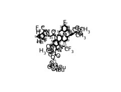 CC(C)(C)OP(=O)(OCOC(=O)N(c1nn(CC(F)(F)F)c2c(-c3ccc(C#CC(C)(C)S(C)(=O)=O)nc3[C@H](Cc3cc(F)cc(F)c3)NC(=O)Cn3nc(C(F)(F)F)c4c3C(F)(F)[C@@H]3C[C@H]43)ccc(Cl)c12)S(C)(=O)=O)OC(C)(C)C